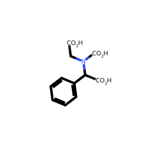 O=C(O)CN(C(=O)O)C(C(=O)O)c1ccccc1